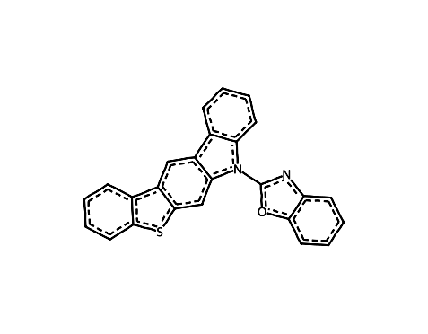 c1ccc2oc(-n3c4ccccc4c4cc5c(cc43)sc3ccccc35)nc2c1